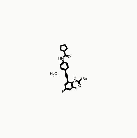 CC(C)(C)C(=O)Nc1c(F)cc(F)cc1C#Cc1ccc(NC(=O)C2CCCC2)cc1.O